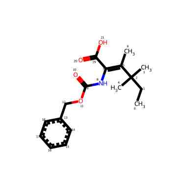 CCC(C)(C)C(C)=C(NC(=O)OCc1ccccc1)C(=O)O